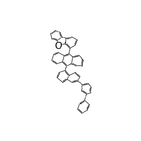 c1ccc(-c2cccc(-c3ccc4c(-c5c6ccccc6c(-c6cccc7c6oc6ccccc67)c6ccccc56)cccc4c3)c2)cc1